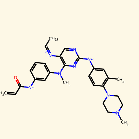 C=CC(=O)Nc1cccc(N(C)c2nc(Nc3ccc(N4CCN(C)CC4)c(C)c3)ncc2/N=C\C=O)c1